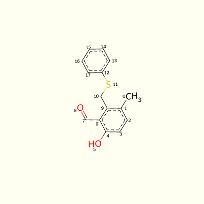 Cc1ccc(O)c(C=O)c1CSc1ccccc1